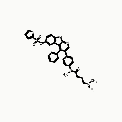 CN(C)CCCC(=O)N(C)c1ccc(-c2cnc3[nH]c4ccc(OS(=O)(=O)c5cccs5)cc4c3c2-c2ccccc2)cc1